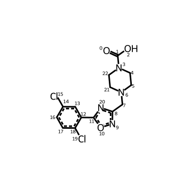 O=C(O)N1CCN(Cc2noc(-c3cc(Cl)ccc3Cl)n2)CC1